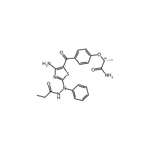 CCC(=O)NN(c1ccccc1)c1nc(N)c(C(=O)c2ccc(O[C@H](C)C(N)=O)cc2)s1